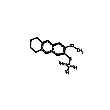 [1H][13C]([1H])([1H])Sc1cc2cc3c(cc2cc1OC)CCCC3